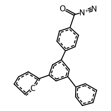 N#[N+]C(=O)c1ccc(-c2cc(-c3ccccc3)cc(-c3ccccc3)c2)cc1